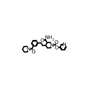 NC(=O)C1CN(C(=O)Oc2cccnc2)CCC1CCc1cccc(C(=O)N2CCCCC2)c1